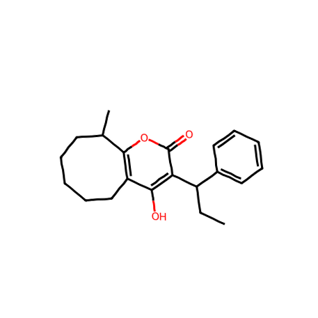 CCC(c1ccccc1)c1c(O)c2c(oc1=O)C(C)CCCCC2